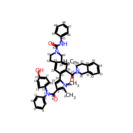 Cc1c(C(=O)N(c2ccccc2)c2ccc(O)cc2)cc(-c2cc3c(cc2C(=O)N2Cc4ccccc4C[C@H]2C)CN(C(=O)Nc2ccccc2)CC3)n1C